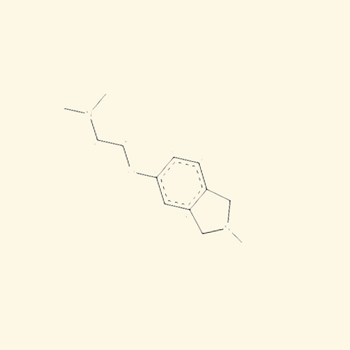 CCOC(=O)N1Cc2ccc(OCCN(C)C)cc2C1